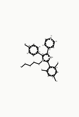 CCCCCn1c(-c2c(C)cc(C)cc2C)nc(-c2ccncc2)c1-c1ccc(C)cc1